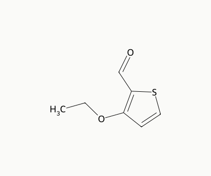 CCOc1ccsc1C=O